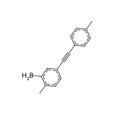 Bc1cc(C#Cc2ccc(C)cc2)ccc1C